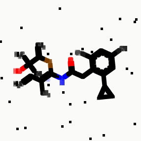 C=C/C(C)=C(/NC(=O)Cc1c(C(C)C)cc(C#N)cc1C1CC1)SC(=C)C(C)(C)O